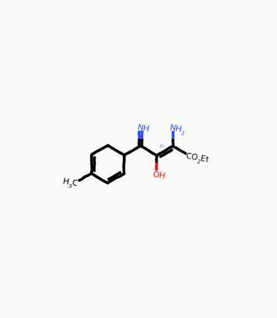 CCOC(=O)/C(N)=C(\O)C(=N)C1C=CC(C)=CC1